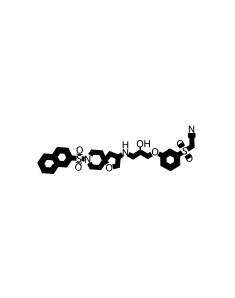 N#CCS(=O)(=O)c1cccc(OC[C@@H](O)CNC2COC3(CCN(S(=O)(=O)c4ccc5ccccc5c4)CC3)C2)c1